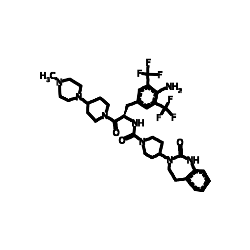 CN1CCN(C2CCN(C(=O)[C@@H](Cc3cc(C(F)(F)F)c(N)c(C(F)(F)F)c3)NC(=O)N3CCC(N4CCc5ccccc5NC4=O)CC3)CC2)CC1